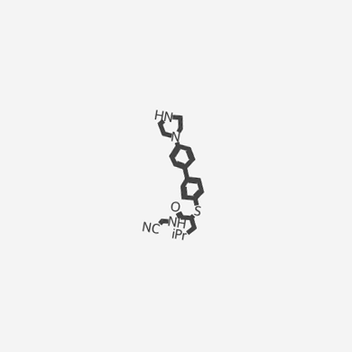 CC(C)CC(Sc1ccc(-c2ccc(N3CCNCC3)cc2)cc1)C(=O)NCC#N